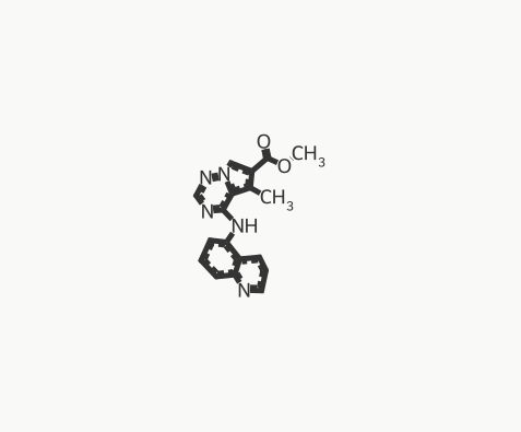 COC(=O)c1cn2ncnc(Nc3cccc4ncccc34)c2c1C